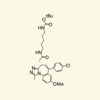 COc1ccc2c(c1)C(c1ccc(Cl)cc1)=C[C@@H](CC(=O)NCCCCCNC(=O)OC(C)(C)C)c1nnc(C)n1-2